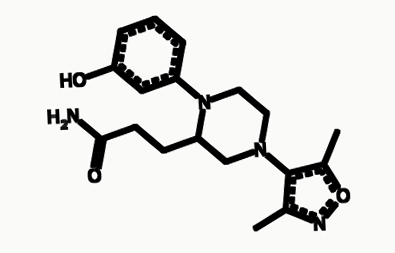 Cc1noc(C)c1N1CCN(c2cccc(O)c2)C(CCC(N)=O)C1